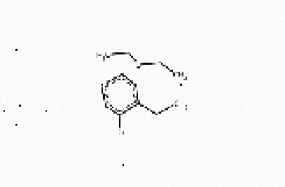 CCOCC.[Li][c]1ccccc1CC